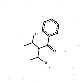 CC(O)N(C(=O)c1ccccc1)C(C)O